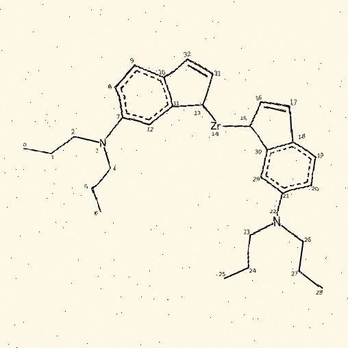 CCCN(CCC)c1ccc2c(c1)[CH]([Zr][CH]1C=Cc3ccc(N(CCC)CCC)cc31)C=C2